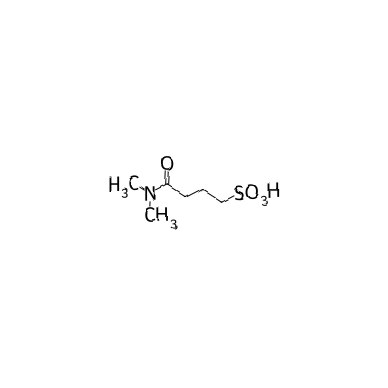 CN(C)C(=O)CCCS(=O)(=O)O